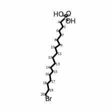 O=P(O)(O)CCCCCCCCCCCCCCCCCBr